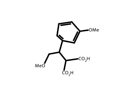 COCC(c1cccc(OC)c1)C(C(=O)O)C(=O)O